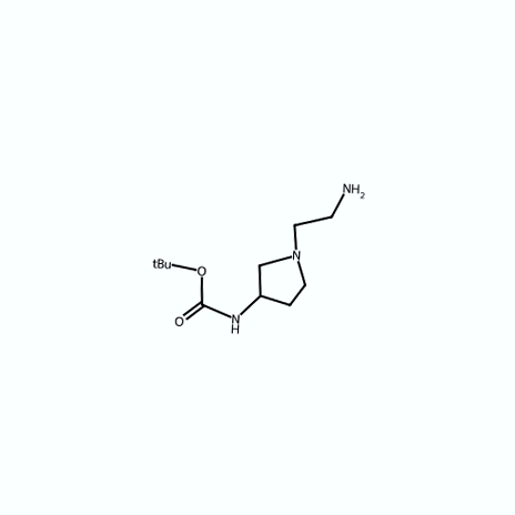 CC(C)(C)OC(=O)NC1CCN(CCN)C1